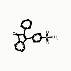 CS(=O)(=O)c1ccc(C2=C(c3ccccc3)C(=O)c3ccccc32)cc1